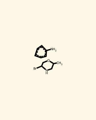 CC1CNC(Br)CO1.Nc1ccccc1